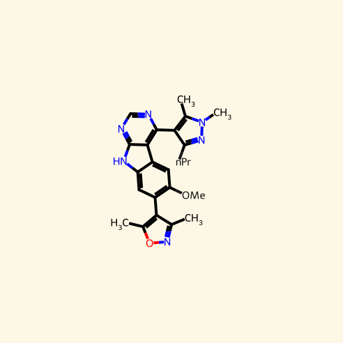 CCCc1nn(C)c(C)c1-c1ncnc2[nH]c3cc(-c4c(C)noc4C)c(OC)cc3c12